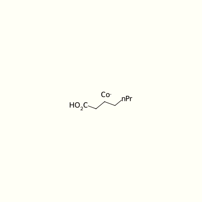 CCCCCCC(=O)O.[Co]